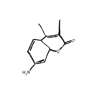 CC1=C(C)C2C=CC(N)=CC2OC1=O